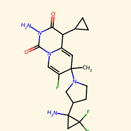 CC1(N2CCC(C3(N)CC3(F)F)C2)C=C2C(C3CC3)C(=O)N(N)C(=O)N2C=C1F